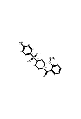 COc1ccccc1C(=O)N1CCN(S(=O)(=O)c2ccc(Cl)cc2)CC1